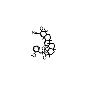 COc1ccccc1CNC(=O)C1(C)CCC2(C)CCC3(C)C4(C)CCC5C(C)(C)C(=O)C(C#N)=CC5(C)C4=CC(=O)C3(O)C2C1